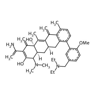 C=C(N)C1=C(O)C(N(C)C)[C@@H]2C[C@@H]3Cc4c(-c5cc(CN(CC)CC)ccc5OC)ccc(C)c4C(=C)C3=C(C)[C@]2(O)C1=C